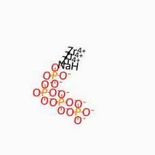 O=P([O-])([O-])[O-].O=P([O-])([O-])[O-].O=P([O-])([O-])[O-].O=P([O-])([O-])[O-].[NaH].[Zr+4].[Zr+4].[Zr+4]